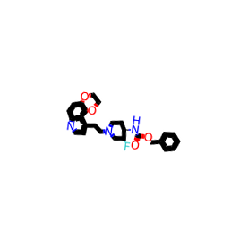 O=C(N[C@H]1CCN(CCc2ccnc3ccc4c(c23)OCCO4)C[C@H]1F)OCc1ccccc1